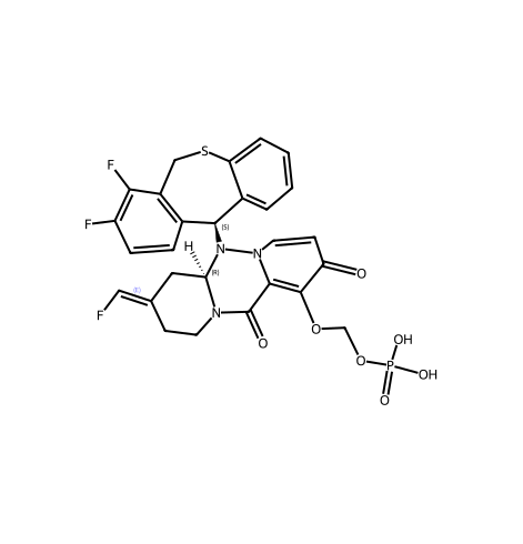 O=C1c2c(OCOP(=O)(O)O)c(=O)ccn2N([C@@H]2c3ccccc3SCc3c2ccc(F)c3F)[C@@H]2C/C(=C/F)CCN12